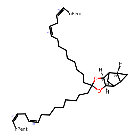 CCCCC/C=C\C/C=C\CCCCCCCCC1(CCCCCCCC/C=C\C/C=C\CCCCC)O[C@@H]2C3CC([C@@H]4CC34)[C@@H]2O1